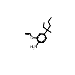 C=COc1cc(C(C)(CC)CCC)ccc1N